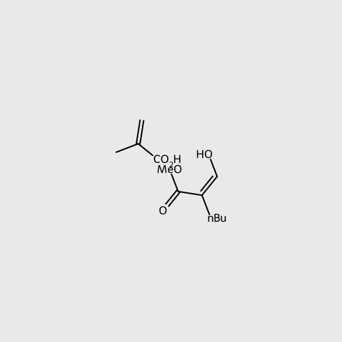 C=C(C)C(=O)O.CCCCC(=CO)C(=O)OC